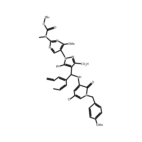 C=C/C=C(\C=C/C)C(Nc1cc(Cl)cn(Cc2ccc(OC)cc2)c1=O)c1c(C(=O)O)nn(-c2cnc(N(C)C(=O)OC(C)(C)C)nc2OC)c1C(C)C